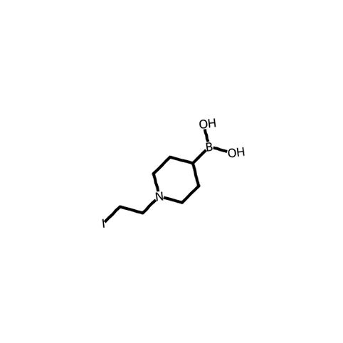 OB(O)C1CCN(CCI)CC1